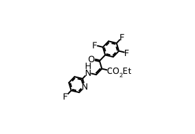 CCOC(=O)C(=CNc1ccc(F)cn1)C(=O)c1cc(F)c(F)cc1F